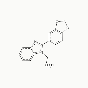 O=C(O)Cn1c(-c2ccc3c(c2)OCO3)nc2ccccc21